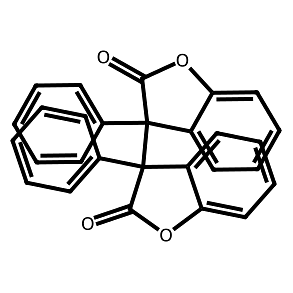 O=C1Oc2ccccc2C1(c1ccccc1)C1(c2ccccc2)C(=O)Oc2ccccc21